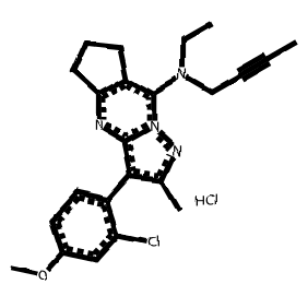 CC#CCN(CC)c1c2c(nc3c(-c4ccc(OC)cc4Cl)c(C)nn13)CCC2.Cl